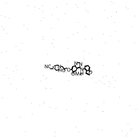 COc1cc2c(Nc3cccc4occc34)ncnc2cc1OCC(O)CN1CCN(CC#N)CC1